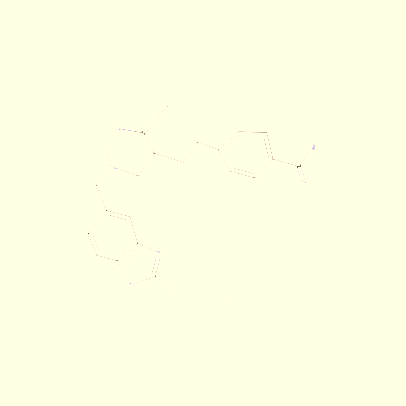 Cc1nc2cc(CN(CC(CCc3ccc(C(=N)N)cc3)C(=N)N)C(=O)O)ccc2[nH]1.Cl.Cl